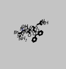 Nc1nc(/C(=N/O)C(=O)N[C@@H]2C(=O)N3C(C(=O)OC(c4ccccc4)c4ccccc4)=C(SCc4cn[nH]c4)CS[C@H]23)c(Br)s1